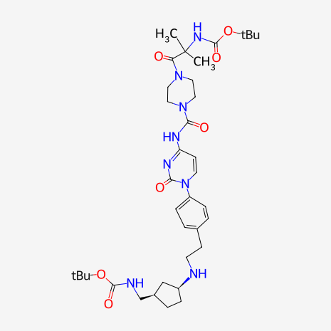 CC(C)(C)OC(=O)NC[C@@H]1CC[C@H](NCCc2ccc(-n3ccc(NC(=O)N4CCN(C(=O)C(C)(C)NC(=O)OC(C)(C)C)CC4)nc3=O)cc2)C1